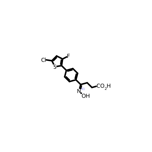 O=C(O)CC/C(=N\O)c1ccc(-c2sc(Cl)cc2F)cc1